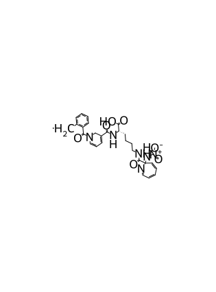 [CH2]c1ccccc1C(=O)N1C=CC=C(C(=O)N[C@@H](CCCCNC(=O)C2(N[N+](=O)[O-])C=CC=CC=N2)C(=O)O)C1